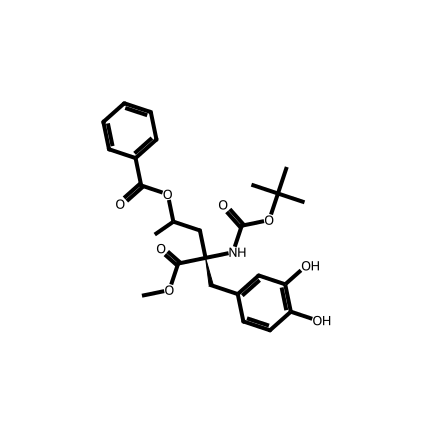 COC(=O)[C@](Cc1ccc(O)c(O)c1)(CC(C)OC(=O)c1ccccc1)NC(=O)OC(C)(C)C